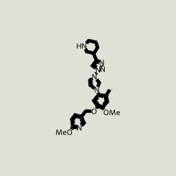 [CH2]c1cc(OC)c(OCc2ccc(OC)nc2)cc1N1C=CN(n2cc(C3CCCNC3)nn2)C1